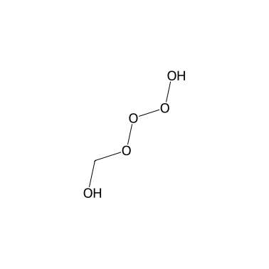 OCOOOO